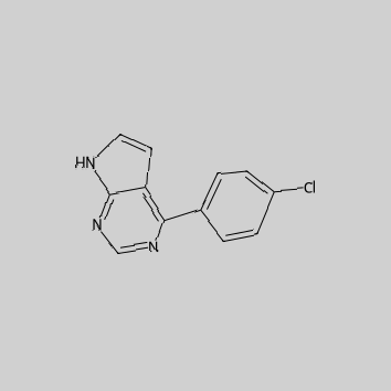 Clc1ccc(-c2ncnc3[nH]ccc23)cc1